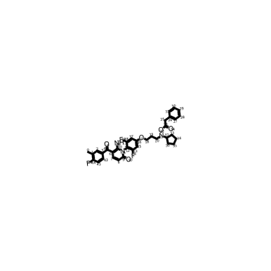 Cc1cc(C(=O)c2ccc(=O)n(-c3c(F)cc(OCCCN(OC(=O)Cc4ccccc4)C4CCCC4)cc3F)c2N)ccc1F